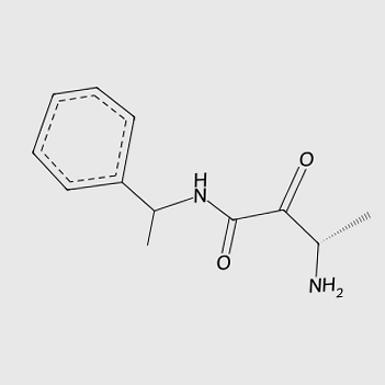 CC(NC(=O)C(=O)[C@H](C)N)c1ccccc1